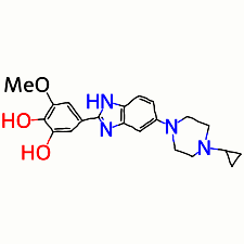 COc1cc(-c2nc3cc(N4CCN(C5CC5)CC4)ccc3[nH]2)cc(O)c1O